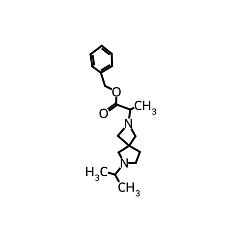 CC(C)N1CCC2(C1)CN(C(C)C(=O)OCc1ccccc1)C2